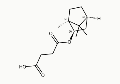 CC1(C)[C@H]2CC[C@]1(C)[C@H](OC(=O)CCC(=O)O)C2